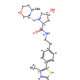 CC(=O)N1CCOC[C@H]1CN1C[C@H](O)CC1C(=O)NCCc1ccc(-c2scnc2C)cc1